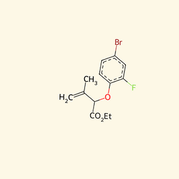 C=C(C)C(Oc1ccc(Br)cc1F)C(=O)OCC